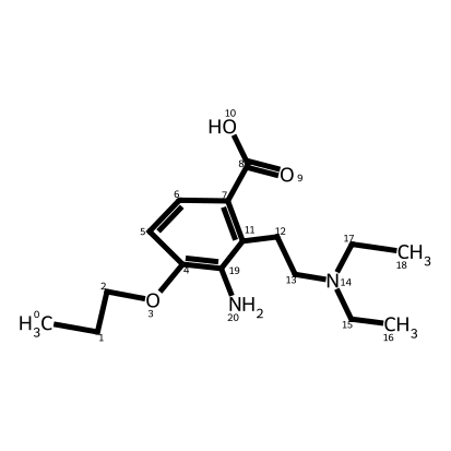 CCCOc1ccc(C(=O)O)c(CCN(CC)CC)c1N